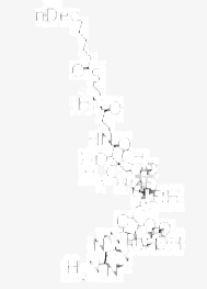 CCCCCCCCCCCCCCCC(=O)SCCNC(=O)CCNC(=O)[C@H](O)C(C)(C)COP(=O)(O)OP(=O)(O)OC[C@H]1O[C@@H](n2cnc3c(N)ncnc32)[C@H](O)[C@@H]1OP(=O)(O)O